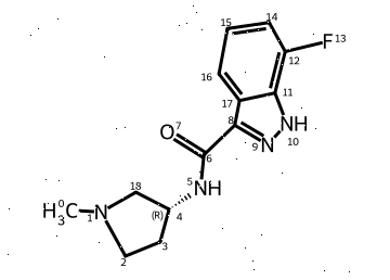 CN1CC[C@@H](NC(=O)c2n[nH]c3c(F)cccc23)C1